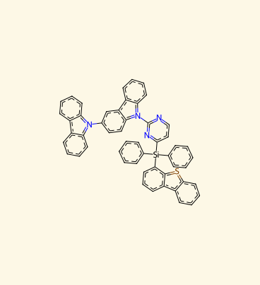 c1ccc([Si](c2ccccc2)(c2ccnc(-n3c4ccccc4c4cc(-n5c6ccccc6c6ccccc65)ccc43)n2)c2cccc3c2sc2ccccc23)cc1